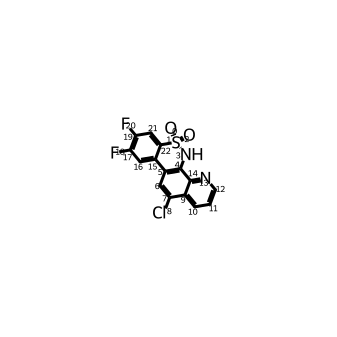 O=S1(=O)Nc2c(cc(Cl)c3cccnc23)-c2cc(F)c(F)cc21